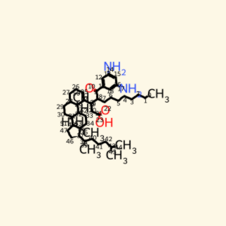 CCCCCCCCC(C(=O)c1cc(N)cc(N)c1)C(CC(=O)O)C1CCCC2CC[C@@H]3[C@H](CC[C@]4(C)[C@@H]([C@H](C)CCCC(C)C)CC[C@@H]34)[C@]21C